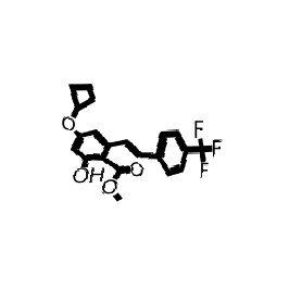 COC(=O)c1c(O)cc(OC2CCC2)cc1C=Cc1ccc(C(F)(F)F)cc1